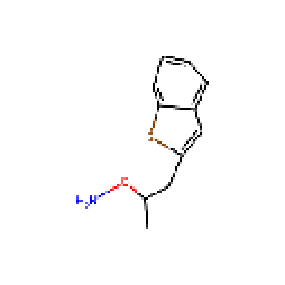 CC(Cc1cc2ccccc2s1)ON